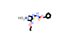 C=CCO/N=C1\CN(C(=O)O)Cc2nc(NC(=O)OCc3ccccc3)sc21